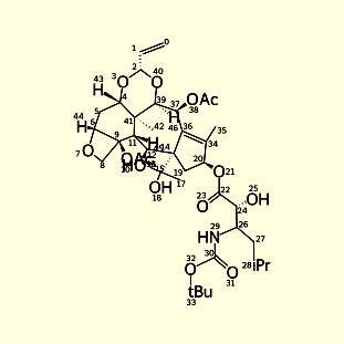 C=C[C@H]1O[C@H]2C[C@H]3OC[C@@]3(OC(C)=O)[C@H]3[C@H](O)[C@]4(C(C)(C)O)C[C@H](OC(=O)[C@H](O)C(CC(C)C)NC(=O)OC(C)(C)C)C(C)=C4[C@H](OC(C)=O)[C@H](O1)[C@]23C